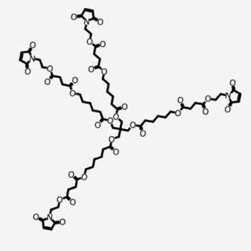 O=C(CCC(=O)OCCN1C(=O)C=CC1=O)OCCCCCC(=O)OCC(COC(=O)CCCCCOC(=O)CCC(=O)OCCN1C(=O)C=CC1=O)(COC(=O)CCCCCOC(=O)CCC(=O)OCCN1C(=O)C=CC1=O)COC(=O)CCCCCOC(=O)CCC(=O)OCCN1C(=O)C=CC1=O